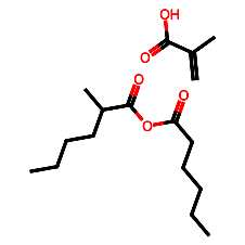 C=C(C)C(=O)O.CCCCCC(=O)OC(=O)C(C)CCCC